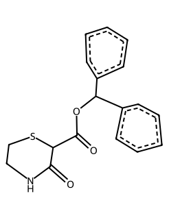 O=C1NCCSC1C(=O)OC(c1ccccc1)c1ccccc1